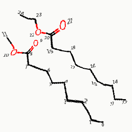 CCCCCCCCC(=O)OC.CCCCCCCCC(=O)OCC